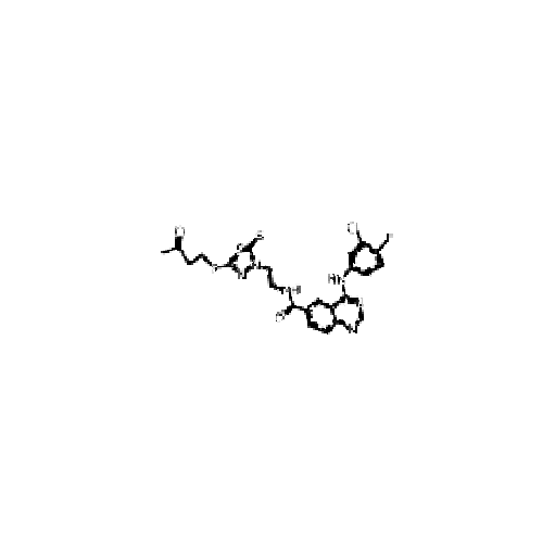 CC(=O)CCSc1nn(CCNC(=O)c2ccc3ncnc(Nc4ccc(F)c(Cl)c4)c3c2)c(=S)s1